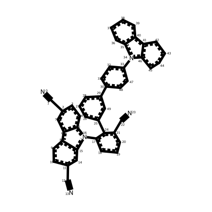 N#Cc1ccc2c(c1)c1ccc(C#N)cc1n2-c1cccc(C#N)c1-c1cccc(-c2ccc(-n3c4ccccc4c4ccccc43)cc2)c1